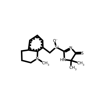 CN1CCCc2cccc(C[S+]([O-])C3=NC(=S)C(C)(C)N3)c21